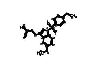 CCc1ccc(S(=O)(=O)n2cc(CCC(=O)O)c3cc(OC)ccc32)cc1